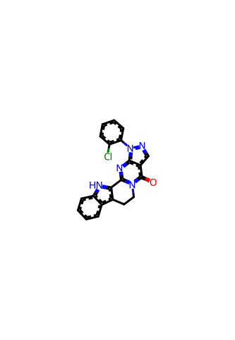 O=c1c2cnn(-c3ccccc3Cl)c2nc2n1CCc1c-2[nH]c2ccccc12